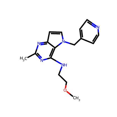 COCCNc1nc(C)nc2ccn(Cc3ccncc3)c12